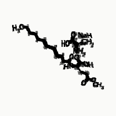 CCCCCCCCCCCC(=O)N[C@@H](CCC(=O)OC)C(=O)O.C[C@H](N)C(=O)O.[NaH]